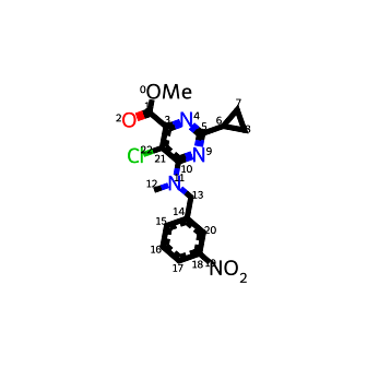 COC(=O)c1nc(C2CC2)nc(N(C)Cc2cccc([N+](=O)[O-])c2)c1Cl